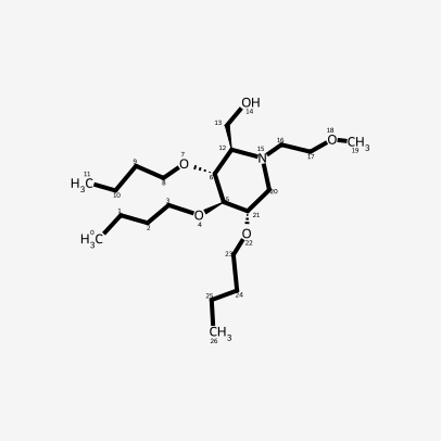 CCCCO[C@H]1[C@H](OCCCC)[C@@H](CO)N(CCOC)C[C@@H]1OCCCC